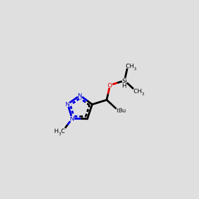 Cn1cc(C(O[SiH](C)C)C(C)(C)C)nn1